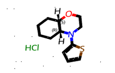 Cl.c1csc(N2CCO[C@H]3CCCC[C@H]32)c1